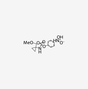 COCC1(NS(=O)(=O)Oc2ccc([NH+]([O-])O)cc2)CC1